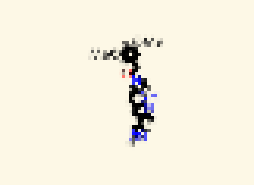 COc1cc(CC(=O)N2CC[C@]3(CCc4cc(-c5cnn(C)c5)c(C)nc4N3)C2)cc(OC)c1